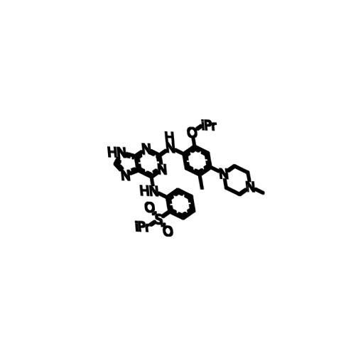 Cc1cc(Nc2nc(Nc3ccccc3S(=O)(=O)C(C)C)c3nc[nH]c3n2)c(OC(C)C)cc1N1CCN(C)CC1